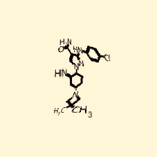 CC1(C)CN([C@H]2CC[C@H](n3cc(C(N)=O)c(Nc4ccc(Cl)cc4)n3)C(=N)C2)C1